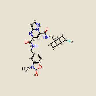 Cn1c(=O)oc2ccc(CNC(=O)c3cc(C(=O)NCC45C6C7C4C4C5C6C74F)n4nccc4n3)cc21